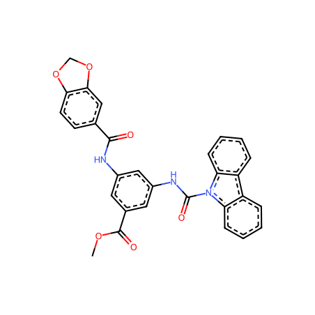 COC(=O)c1cc(NC(=O)c2ccc3c(c2)OCO3)cc(NC(=O)n2c3ccccc3c3ccccc32)c1